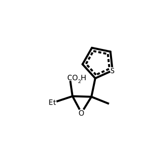 CCC1(C(=O)O)OC1(C)c1cccs1